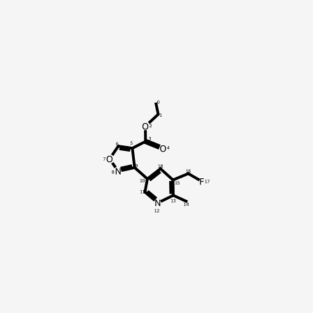 CCOC(=O)c1conc1-c1cnc(C)c(CF)c1